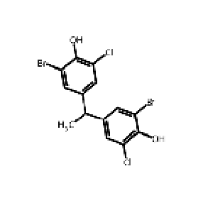 CC(c1cc(Cl)c(O)c(Br)c1)c1cc(Cl)c(O)c(Br)c1